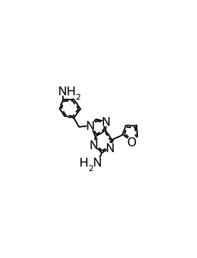 Nc1ccc(Cn2cnc3c(-c4ccco4)nc(N)nc32)cc1